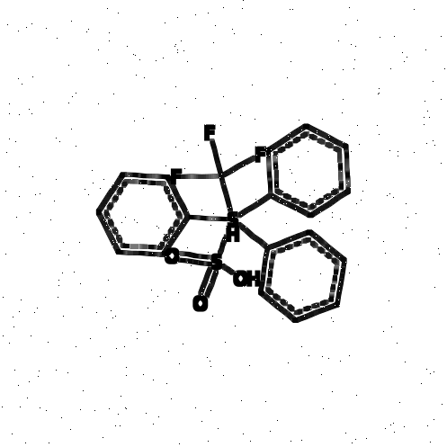 O=S(=O)(O)[SH](c1ccccc1)(c1ccccc1)(c1ccccc1)C(F)(F)F